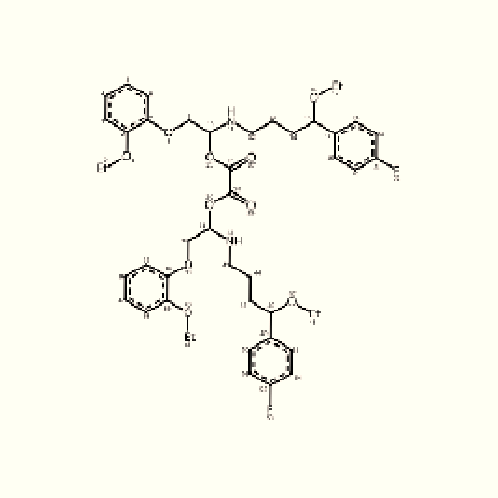 CCOc1ccccc1OCC(NCCCC(OCC)c1ccc(F)cc1)OC(=O)C(=O)OC(COc1ccccc1OCC)NCCCC(OCC)c1ccc(F)cc1